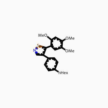 CCCCCCc1ccc(-c2cnsc2-c2cc(OC)c(OC)cc2OC)cc1